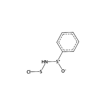 [O-][S+](NSCl)c1ccccc1